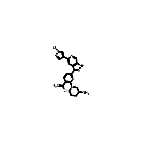 C=C(C)c1ccc(-c2n[nH]c3cnc(-c4cnn(CC)c4)cc23)nc1N1CCCC(N)C1